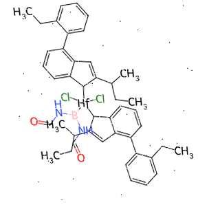 CCc1ccccc1-c1cccc2c1C=C(C(C)CC)[CH]2[Hf]([Cl])([Cl])([B](NC=O)NC=O)[CH]1C(C(C)CC)=Cc2c(-c3ccccc3CC)cccc21